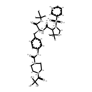 CC(C)(C)OC(=O)[C@H](Cc1ccc(OC(=O)N2CCN(C(=O)C(F)(F)F)CC2)cc1)NC(=O)C1N(S(=O)(=O)c2cccnc2)CSC1(C)C